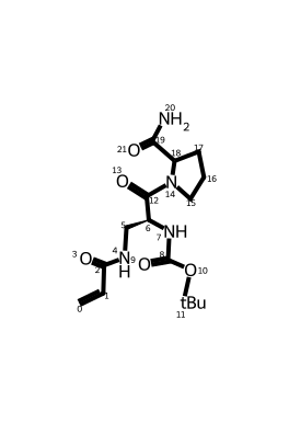 C=CC(=O)NC[C@H](NC(=O)OC(C)(C)C)C(=O)N1CCCC1C(N)=O